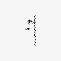 CCCCCCCCCCCCCCCC(OCCCC)OOP(=O)([O-])[O-].[Na+].[Na+]